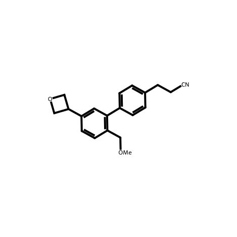 COCc1ccc(C2COC2)cc1-c1ccc(CCC#N)cc1